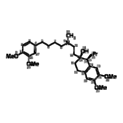 COc1ccc(CCCCN(C)CC[C@@]2(O)CCc3cc(OC)c(OC)cc3[C@@H]2C(C)C)cc1OC